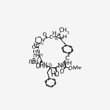 CCCC[C@@H]1NC(=O)[C@@H]2CCCN2C(=O)C[C@@H]2[C@H](C)[C@@H]2c2ccc(cc2)C[C@@H](C(=O)OC)NC(=O)[C@H](Cc2ccccc2)NC1=O